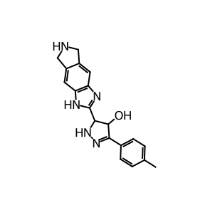 Cc1ccc(C2=NNC(c3nc4cc5c(cc4[nH]3)CNC5)C2O)cc1